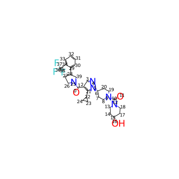 O=C(c1cnn(C2CCN(C(=O)N3CCC(O)CC3)CC2)c1C1CC1)N1CC[C@@H](c2ccccc2C(F)(F)F)C1